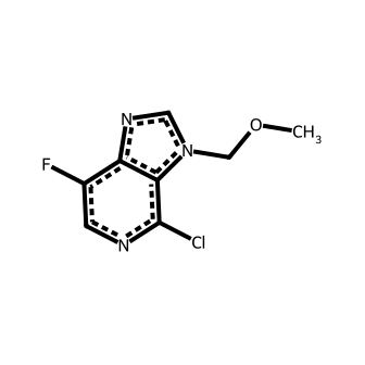 COCn1cnc2c(F)cnc(Cl)c21